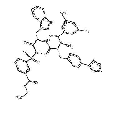 CCOC(=O)c1cccc(S(=O)(=O)NC(=O)[C@H](Cc2c[nH]c3ccccc23)NC(=O)[C@@H](Cc2ccc(-c3ccno3)cc2)N(C)C(=O)c2cc(C)cc(C)c2)c1